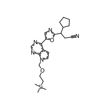 C[Si](C)(C)CCOCn1ccc2c(-c3cnc(C(CC#N)C4CCCC4)o3)ncnc21